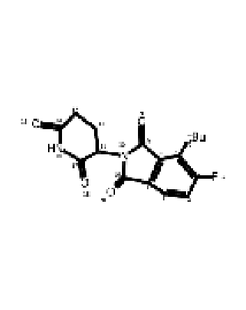 CC(C)(C)c1c(F)ccc2c1C(=O)N(C1CCC(=O)NC1=O)C2=O